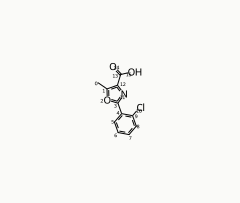 Cc1oc(-c2ccccc2Cl)nc1C(=O)O